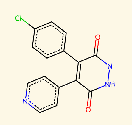 O=C1[N]NC(=O)C(c2ccncc2)=C1c1ccc(Cl)cc1